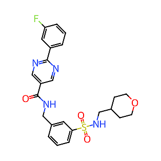 O=C(NCc1cccc(S(=O)(=O)NCC2CCOCC2)c1)c1cnc(-c2cccc(F)c2)nc1